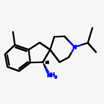 Cc1cccc2c1CC1(CCN(C(C)C)CC1)[C@@H]2N